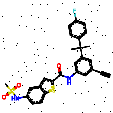 C#Cc1cc(NC(=O)c2cc3cc(NS(C)(=O)=O)ccc3s2)cc(C(C)(C)c2ccc(F)cc2)c1